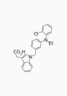 CCN(c1cccc(Cn2cc(CC(=O)O)c3ccccc32)c1)c1ccccc1Cl